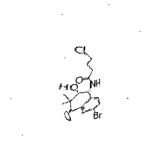 CC1(C)C(=O)c2cc(Br)ccc2[C@@H](NC(=O)CCCCl)[C@@H]1O